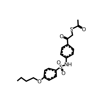 CCCCOc1ccc(S(=O)(=O)Nc2ccc(C(=O)CSC(C)=O)cc2)cc1